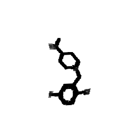 CNC1CCN(Cc2cc(F)ccc2Cl)CC1